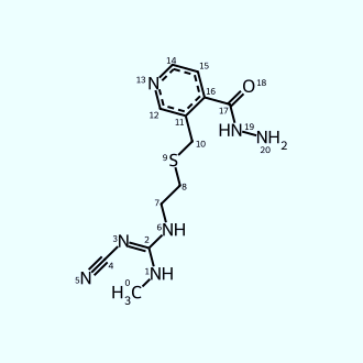 CNC(=NC#N)NCCSCc1cnccc1C(=O)NN